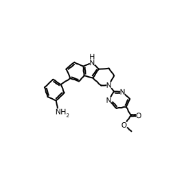 COC(=O)c1cnc(N2CCc3[nH]c4ccc(-c5cccc(N)c5)cc4c3C2)nc1